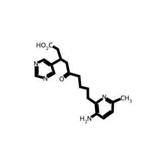 Cc1ccc(N)c(CCCCC(=O)CC(CC(=O)O)c2cncnc2)n1